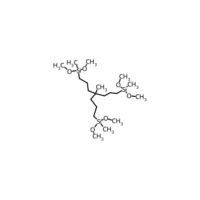 CO[Si](C)(CCCC(C)(CCC[Si](C)(OC)OC)CCC[Si](C)(OC)OC)OC